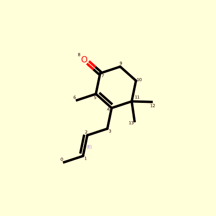 C/C=C/CC1=C(C)C(=O)CCC1(C)C